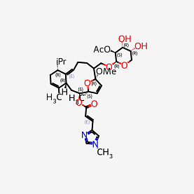 CO[C@]12C=C[C@](C)(O1)[C@@H](OC(=O)/C=C/c1cn(C)cn1)C[C@@H]1C(C)=CC[C@H](C(C)C)/C1=C\CCC2CO[C@@H]1OC[C@@H](O)[C@@H](O)[C@@H]1OC(C)=O